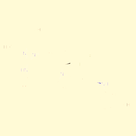 Cc1cccc(C)c1-c1cc2nc(n1)NS(=O)(=O)c1cccc(c1)C(=O)N([C@H]1CC3(C[C@H](NC(=O)OC(C)C)C3)C1)[C@H](CC1(C(F)(F)F)CC1)CO2